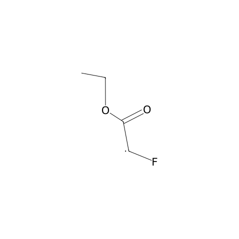 CCOC(=O)[CH]F